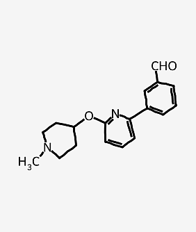 CN1CCC(Oc2cccc(-c3cccc(C=O)c3)n2)CC1